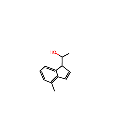 Cc1cccc2c1C=CC2C(C)O